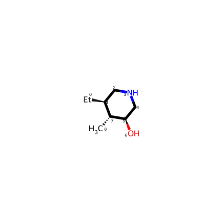 CC[C@H]1CNC[C@@H](O)[C@@H]1C